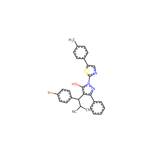 Cc1ccc(-c2cnc(-n3nc(-c4ccccc4)c(C(c4ccc(Br)cc4)C(C#N)C#N)c3O)s2)cc1